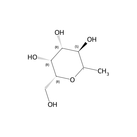 C[C]1O[C@H](CO)[C@H](O)[C@H](O)[C@H]1O